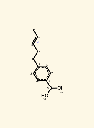 C/C=C/CCc1ccc(B(O)O)cc1